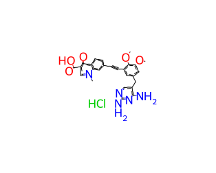 COc1cc(Cc2cnc(N)nc2N)cc(C#Cc2ccc3c(=O)c(C(=O)O)cn(C)c3c2)c1OC.Cl